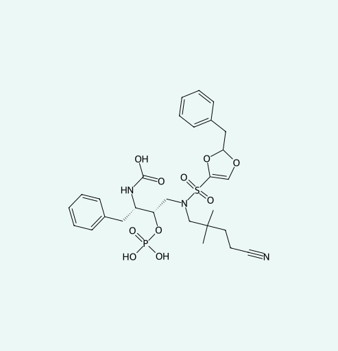 CC(C)(CCC#N)CN(C[C@H](OP(=O)(O)O)[C@H](Cc1ccccc1)NC(=O)O)S(=O)(=O)C1=COC(Cc2ccccc2)O1